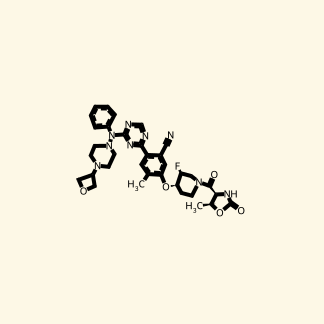 Cc1cc(-c2ncnc(N(c3ccccc3)N3CCN(C4COC4)CC3)n2)c(C#N)cc1O[C@H]1CCN(C(=O)[C@H]2NC(=O)O[C@H]2C)C[C@@H]1F